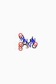 Cc1cc(-c2nsc3c(CS(C)(=O)=O)cc(N4CCOC[C@H]4C)nc23)n(C2CCCCO2)n1